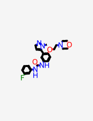 Cn1nccc1-c1cc(NC(=O)Nc2cccc(F)c2)ccc1OCCN1CCOCC1